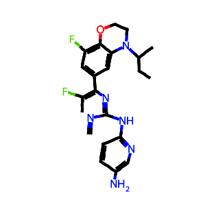 C=N/C(=N\C(=C(/C)F)c1cc(F)c2c(c1)N(C(C)CC)CCO2)Nc1ccc(N)cn1